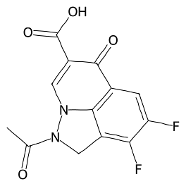 CC(=O)N1Cc2c(F)c(F)cc3c(=O)c(C(=O)O)cn1c23